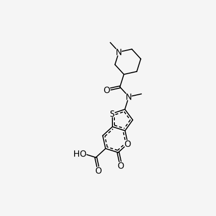 CN1CCCC(C(=O)N(C)c2cc3oc(=O)c(C(=O)O)cc3s2)C1